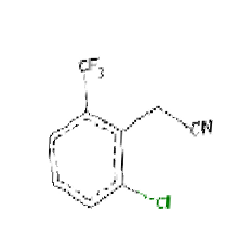 N#CCc1c(Cl)cccc1C(F)(F)F